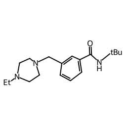 CCN1CCN(Cc2cccc(C(=O)NC(C)(C)C)c2)CC1